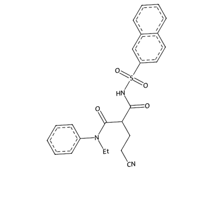 CCN(C(=O)C(CCC#N)C(=O)NS(=O)(=O)c1ccc2ccccc2c1)c1ccccc1